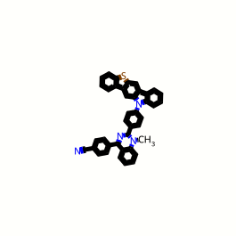 CN1c2ccccc2C(c2ccc(C#N)cc2)=NC1c1ccc(-n2c3ccccc3c3cc4sc5ccccc5c4cc32)cc1